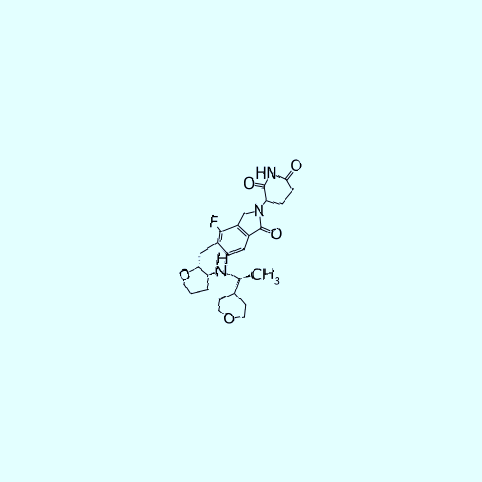 C[C@H](N[C@H]1CCCO[C@@H]1Cc1ccc2c(c1F)CN(C1CCC(=O)NC1=O)C2=O)C1CCOCC1